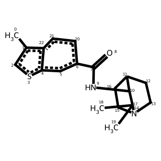 Cc1csc2cc(C(=O)NC3C4CCN(CC4)C3(C)C)ccc12